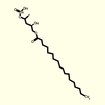 CCCCCCCCC=CCCCCCCCC(=O)OC[C@H](O)CC(F)O[PH](=O)O